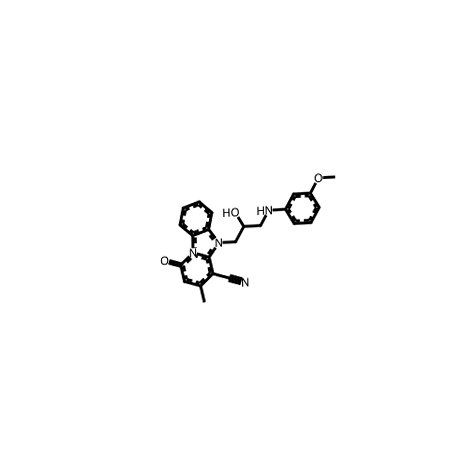 COc1cccc(NCC(O)Cn2c3ccccc3n3c(=O)cc(C)c(C#N)c23)c1